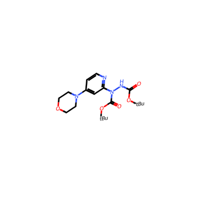 CC(C)(C)OC(=O)NN(C(=O)OC(C)(C)C)c1cc(N2CCOCC2)ccn1